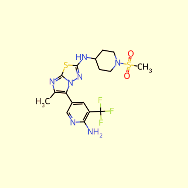 Cc1nc2sc(NC3CCN(S(C)(=O)=O)CC3)nn2c1-c1cnc(N)c(C(F)(F)F)c1